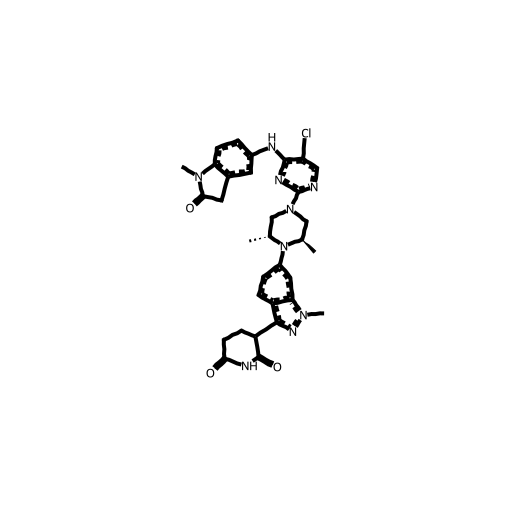 C[C@@H]1CN(c2ncc(Cl)c(Nc3ccc4c(c3)CC(=O)N4C)n2)C[C@@H](C)N1c1ccc2c(C3CCC(=O)NC3=O)nn(C)c2c1